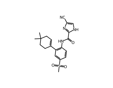 CC1(C)CC=C(c2cc(S(C)(=O)=O)ccc2NC(=O)c2nc(C#N)c[nH]2)CC1